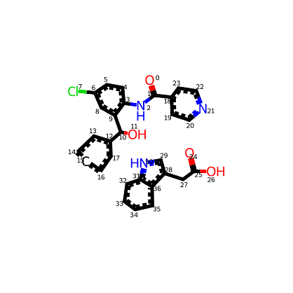 O=C(Nc1ccc(Cl)cc1C(O)c1ccccc1)c1ccncc1.O=C(O)Cc1c[nH]c2ccccc12